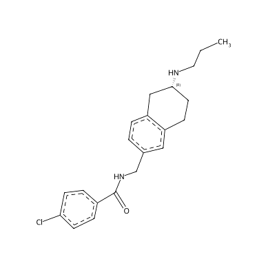 CCCN[C@@H]1CCc2cc(CNC(=O)c3ccc(Cl)cc3)ccc2C1